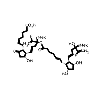 C=C(F)C(O)(CC=C[C@@H]1[C@@H](CC=CCCCC(=O)OC(C/C=C/[C@H]2[C@H](O)CC(=O)[C@@H]2C/C=C\CCCC(=O)O)(CCCCCC)C(=C)F)[C@@H](O)C[C@H]1O)CCCCCC